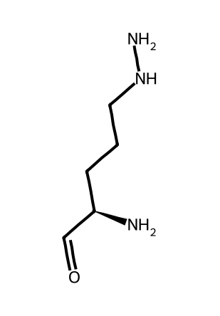 NNCCC[C@@H](N)C=O